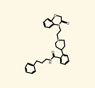 O=C(NCCCc1ccccc1)c1ccccc1C1CCN(CCN2C(=O)COc3ccccc32)CC1